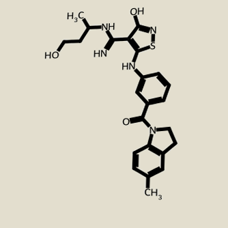 Cc1ccc2c(c1)CCN2C(=O)c1cccc(Nc2snc(O)c2C(=N)NC(C)CCO)c1